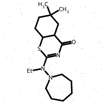 CCN(C1=NC(=O)C2CC(C)(C)CCC2S1)N1CCCCCC1